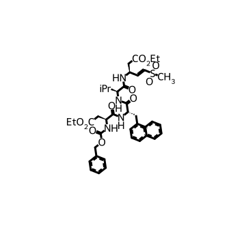 CCOC(=O)C[C@@H](/C=C/S(C)(=O)=O)NC(=O)[C@@H](NC(=O)[C@H](Cc1cccc2ccccc12)NC(=O)[C@H](CC(=O)OCC)NC(=O)OCc1ccccc1)C(C)C